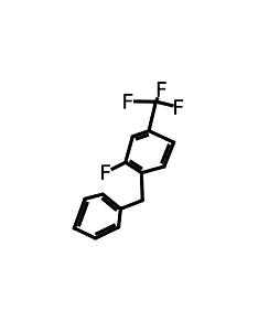 Fc1cc(C(F)(F)F)ccc1Cc1ccccc1